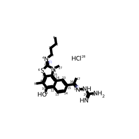 CCCC/N=c1/sc2c(C)c(O)c3ccc(/C(C)=N/NC(=N)N)cc3c2n1C.Cl